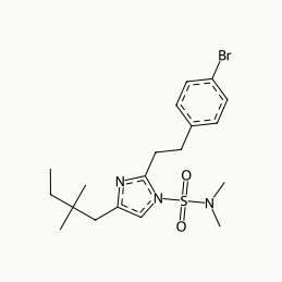 CCC(C)(C)Cc1cn(S(=O)(=O)N(C)C)c(CCc2ccc(Br)cc2)n1